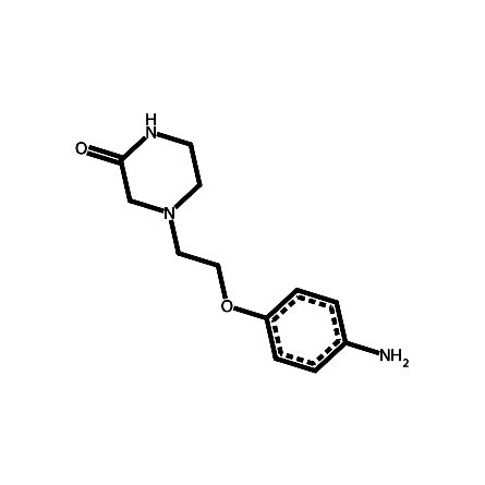 Nc1ccc(OCCN2CCNC(=O)C2)cc1